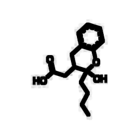 CCCCC1(O)Oc2ccccc2CC1CC(=O)O